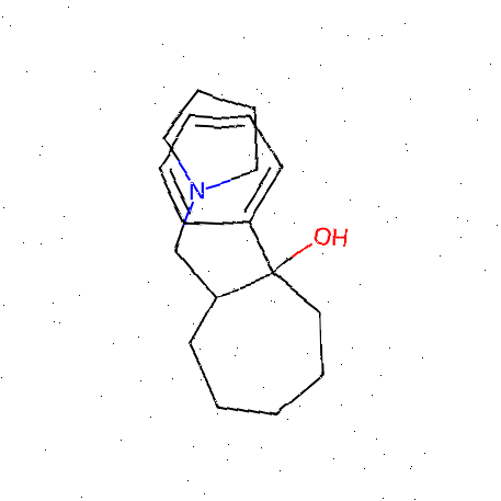 OC1(c2ccccc2)CCCCCC1CN1CCCC1